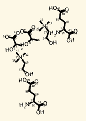 CC(O)C(=O)[O-].CC(O)C(=O)[O-].C[N+](C)(C)CCO.C[N+](C)(C)CCO.N[C@@H](CCC(=O)O)C(=O)O.N[C@@H](CCC(=O)O)C(=O)O